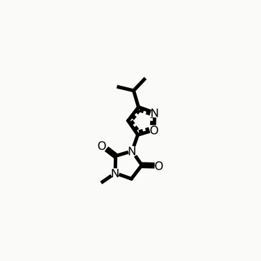 CC(C)c1cc(N2C(=O)CN(C)C2=O)on1